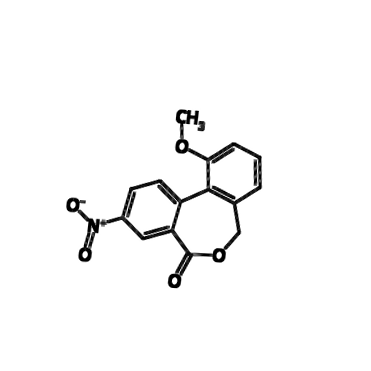 COc1cccc2c1-c1ccc([N+](=O)[O-])cc1C(=O)OC2